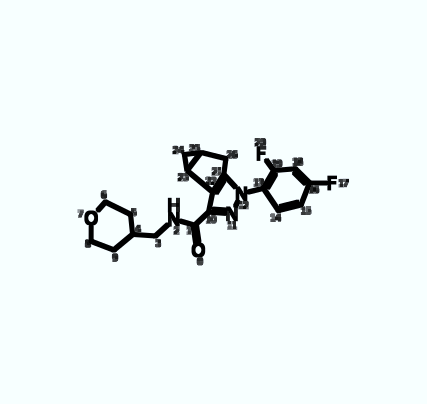 O=C(NCC1CCOCC1)c1nn(-c2ccc(F)cc2F)c2c1C1CC1C2